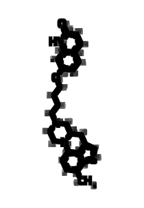 Cc1ccc2c3c(csc13)CC1CN(CCCCOc3ccc4ccc(=O)[nH]c4c3)CCN21